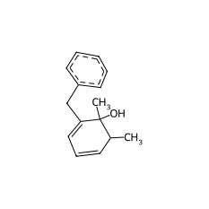 CC1C=CC=C(Cc2ccccc2)C1(C)O